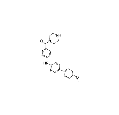 COc1ccc(-c2cnc(Nc3ccc(C(=O)N4CCNCC4)nc3)nc2)cc1